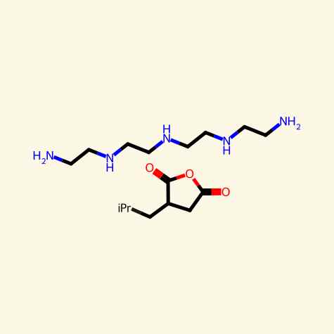 CC(C)CC1CC(=O)OC1=O.NCCNCCNCCNCCN